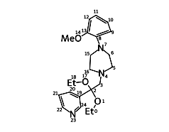 CCOC(CN1CCN(c2ccccc2OC)CC1)(OCC)c1cccnc1